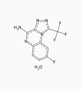 Nc1nc2ccc(F)cc2n2c(C(F)(F)F)nnc12.O